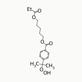 CCC(=O)OCCCCCOC(=O)c1ccc(C(C)(C)OO)cc1